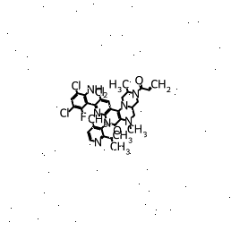 C=CC(=O)N1CC2CN(C)c3c(c4cc(Cl)c(-c5c(N)c(Cl)cc(Cl)c5F)nc4n(-c4c(C)ccnc4C(C)C)c3=O)N2CC1C